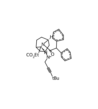 CCOC(=O)[C@@H]1C2CC[C@@H](CC(N(C)CC#CC(C)(C)C)C2)N1C(=O)C(c1ccccc1)c1ccccc1